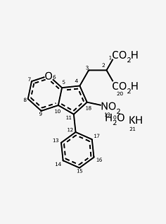 O.O=C(O)C(Cc1c2occcc-2c(-c2ccccc2)c1[N+](=O)[O-])C(=O)O.[KH]